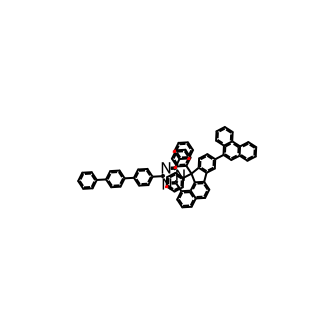 c1ccc(-c2ccc(-c3ccc(-c4nc(-c5ccccc5)nc(-c5cccc6ccc7c(c56)C(c5ccccc5)(c5ccccc5)c5ccc(-c6cc8ccccc8c8ccccc68)cc5-7)n4)cc3)cc2)cc1